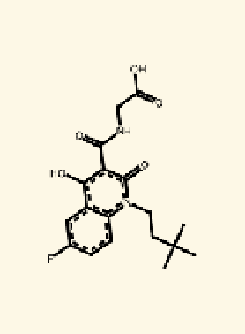 CC(C)(C)CCn1c(=O)c(C(=O)NCC(=O)O)c(O)c2cc(F)ccc21